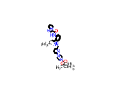 CCc1nn(Cc2cccc(N3CCN(C(=O)OC(C)(C)C)CC3)n2)c2cccc(NC(=O)c3cnc4ccccn34)c12